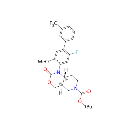 COc1cc(-c2cccc(C(F)(F)F)c2)c(F)cc1N1C(=O)OC[C@@H]2CN(C(=O)OC(C)(C)C)CC[C@H]21